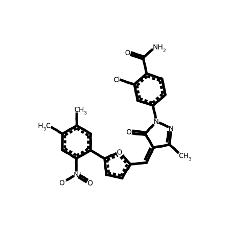 CC1=NN(c2ccc(C(N)=O)c(Cl)c2)C(=O)C1=Cc1ccc(-c2cc(C)c(C)cc2[N+](=O)[O-])o1